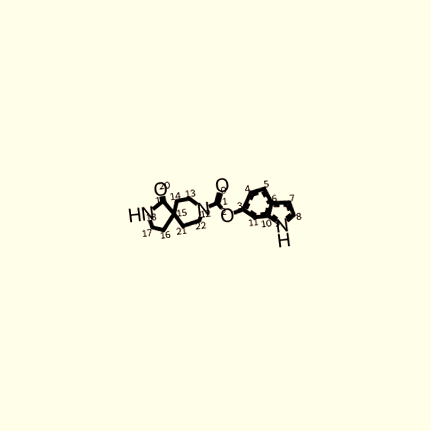 O=C(Oc1ccc2cc[nH]c2c1)N1CCC2(CCNC2=O)CC1